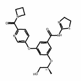 C[C@@H](CO)Oc1cc(Oc2ccc(C(=O)N3CCC3)nc2)cc(C(=O)NC2=NCCS2)c1